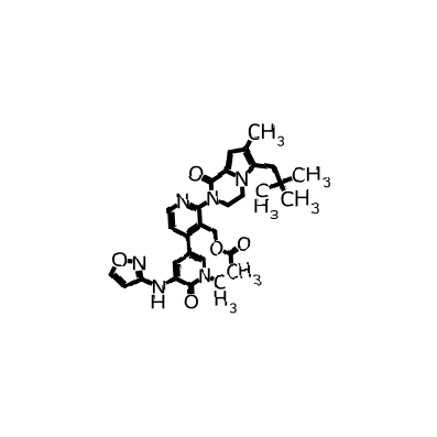 CC(=O)OCc1c(-c2cc(Nc3ccon3)c(=O)n(C)c2)ccnc1N1CCn2c(cc(C)c2CC(C)(C)C)C1=O